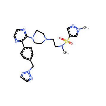 CN(CCN1CCN(c2nccnc2-c2ccc(Cn3nccn3)cc2)CC1)S(=O)(=O)c1cnn(C)c1